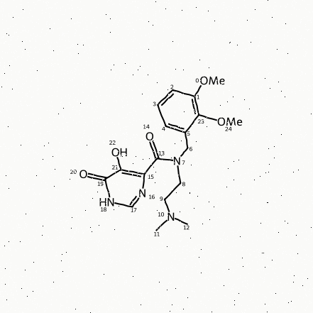 COc1cccc(CN(CCN(C)C)C(=O)c2nc[nH]c(=O)c2O)c1OC